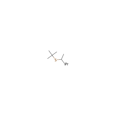 CC(C)C(C)SC(C)(C)C